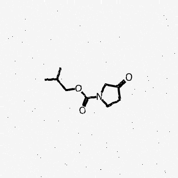 CC(C)COC(=O)N1CCC(=O)C1